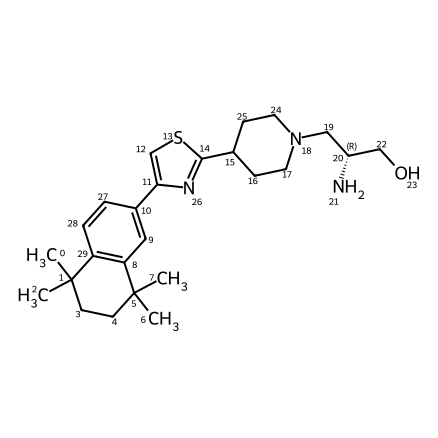 CC1(C)CCC(C)(C)c2cc(-c3csc(C4CCN(C[C@@H](N)CO)CC4)n3)ccc21